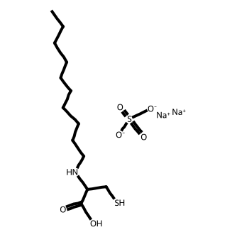 CCCCCCCCCCNC(CS)C(=O)O.O=S(=O)([O-])[O-].[Na+].[Na+]